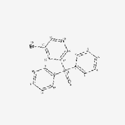 O=P(c1ccccc1)(c1ccccc1)c1cccc(Br)n1